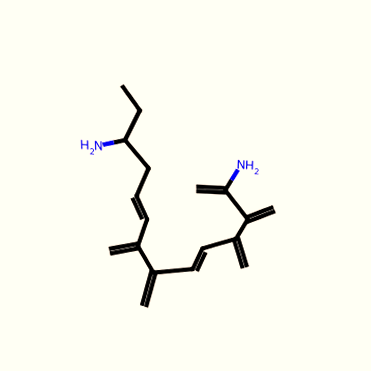 C=C(N)C(=C)C(=C)C=CC(=C)C(=C)C=CCC(N)CC